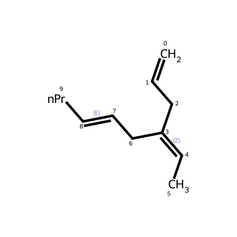 C=CC/C(=C/C)C/C=C/CCC